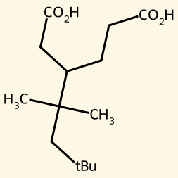 CC(C)(C)CC(C)(C)C(CCC(=O)O)CC(=O)O